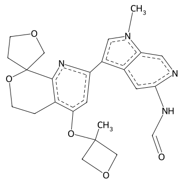 Cn1cc(-c2cc(OC3(C)COC3)c3c(n2)C2(CCOC2)OCC3)c2cc(NC=O)ncc21